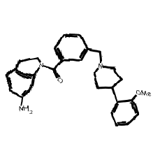 COc1ccccc1C1CCN(Cc2cccc(C(=O)N3CCc4ccc(N)cc43)c2)CC1